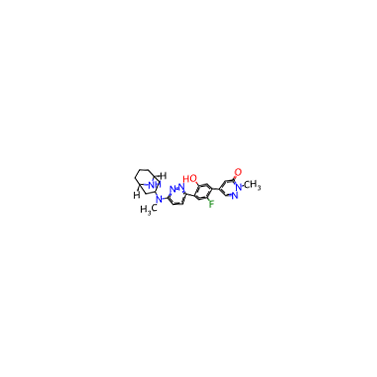 CN(c1ccc(-c2cc(F)c(-c3cnn(C)c(=O)c3)cc2O)nn1)C1C[C@H]2CCC[C@@H](C1)N2